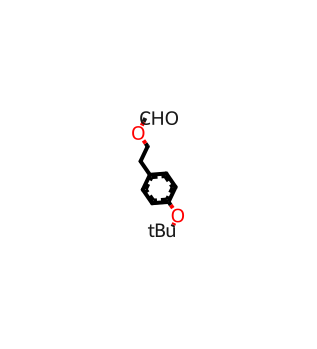 CC(C)(C)Oc1ccc(CCOC=O)cc1